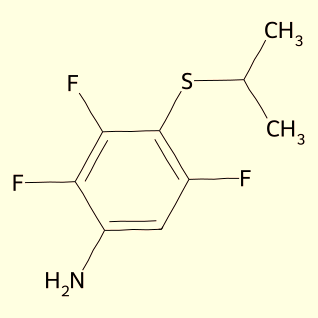 CC(C)Sc1c(F)cc(N)c(F)c1F